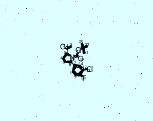 CC(=O)[C@H]1CC[C@@H](c2ccc(F)c(Cl)c2)N1C(=O)OC(C)(C)C